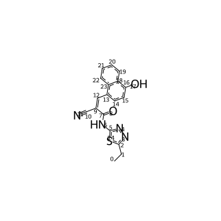 CCc1nnc(NC(=O)C(C#N)=Cc2ccc(O)c3ccccc23)s1